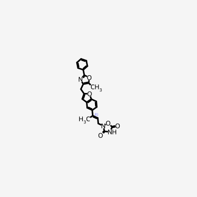 C/C(=C\Cn1oc(=O)[nH]c1=O)c1ccc2oc(Cc3nc(-c4ccccc4)oc3C)cc2c1